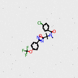 CN(C(=O)c1ccc(Cl)cc1)C(C)(C)c1nc(-c2ccc(OC(F)(F)F)cc2)no1